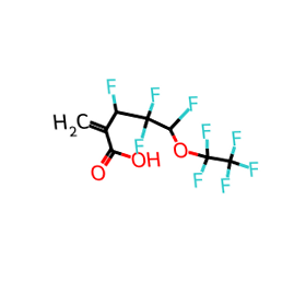 C=C(C(=O)O)C(F)C(F)(F)C(F)OC(F)(F)C(F)(F)F